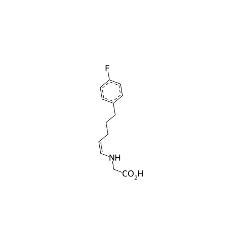 O=C(O)CN/C=C\CCCc1ccc(F)cc1